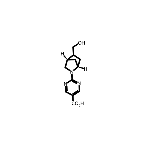 O=C(O)c1cnc(N2C[C@H]3C[C@@H]2CC3CO)nc1